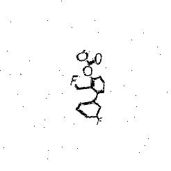 COC(=O)Oc1cccc(-c2cccc(F)c2)c1CF